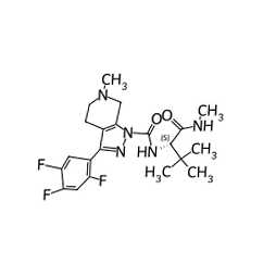 CNC(=O)[C@@H](NC(=O)n1nc(-c2cc(F)c(F)cc2F)c2c1CN(C)CC2)C(C)(C)C